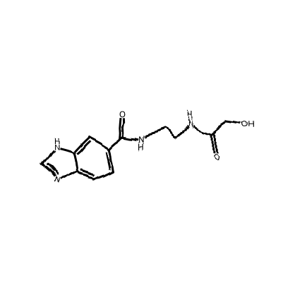 O=C(CO)NCCNC(=O)c1ccc2nc[nH]c2c1